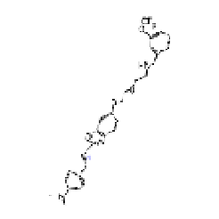 CN(C)c1ccc(/C=C/c2nc3ccc(OCCOCCNCc4cccc(OC(F)(F)F)c4)cc3o2)cc1